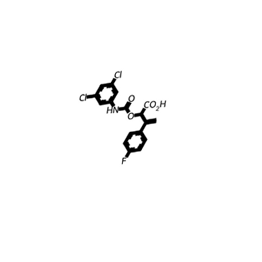 C=C(c1ccc(F)cc1)C(OC(=O)Nc1cc(Cl)cc(Cl)c1)C(=O)O